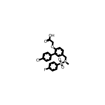 CN(Cc1ccc(OCC(=O)O)c(-c2ccc(Cl)cc2)c1)S(=O)(=O)c1ccc(F)cc1